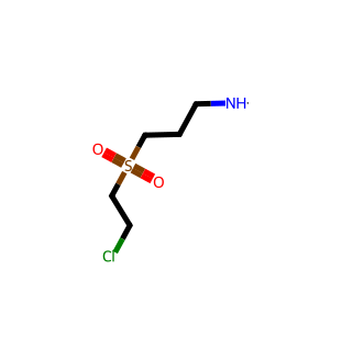 [NH]CCCS(=O)(=O)CCCl